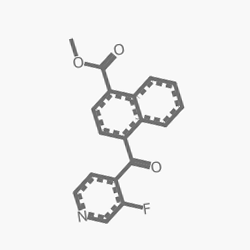 COC(=O)c1ccc(C(=O)c2ccncc2F)c2ccccc12